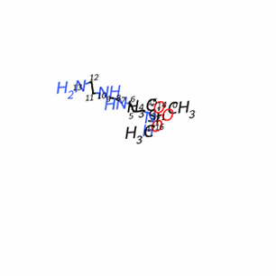 CO[Si](NCCCNCCNCCN)(OC)OC